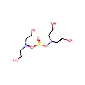 O=S(ON(CCO)CCO)ON(CCO)CCO